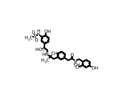 CN(Cc1ccc(O)cc1Cl)C(=O)Cc1cccc(CC(C)(C)NC[C@@H](O)c2ccc(O)c(NS(C)(=O)=O)c2)c1